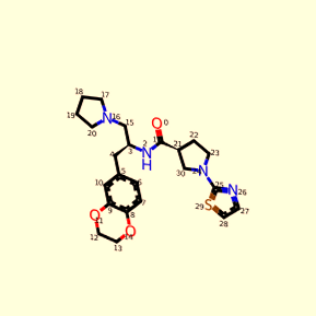 O=C(N[C@@H](Cc1ccc2c(c1)OCCO2)CN1CCCC1)[C@H]1CCN(c2nccs2)C1